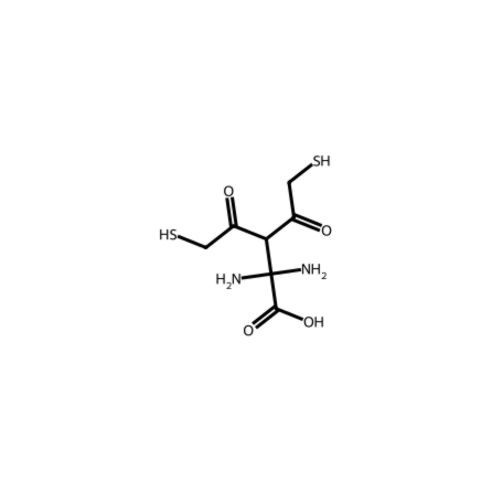 NC(N)(C(=O)O)C(C(=O)CS)C(=O)CS